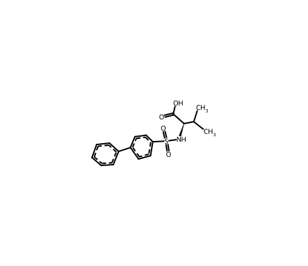 CC(C)[C@@H](NS(=O)(=O)c1ccc(-c2ccccc2)cc1)C(=O)O